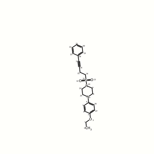 CCOc1ccc(N2CCN(S(=O)(=O)C[CH]C#Cc3ccccc3)CC2)cc1